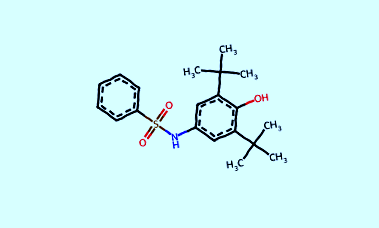 CC(C)(C)c1cc(NS(=O)(=O)c2ccccc2)cc(C(C)(C)C)c1O